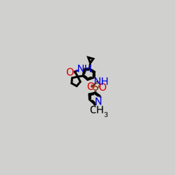 Cc1ccc(S(=O)(=O)Nc2cc(C3CC3)c3c(c2)C2(CCCC2)C(=O)N3)cn1